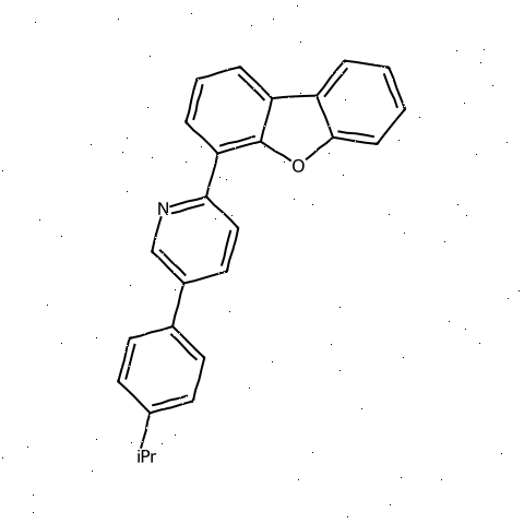 CC(C)c1ccc(-c2ccc(-c3cccc4c3oc3ccccc34)nc2)cc1